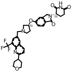 O=C1CC[C@H](N2Cc3cc(O[C@H]4CCN(Cc5cc(C(F)(F)F)c6nc(C7CCOCC7)ccc6c5)C4)ccc3C2=O)C(=O)N1